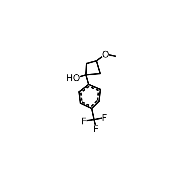 COC1CC(O)(c2ccc(C(F)(F)F)cc2)C1